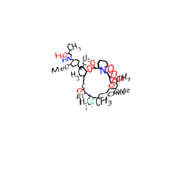 CCC1/C=C(\C)C(F)C(C)CC(OC)C2OC(O)(C(=O)C(=O)N3CCCCC3C(=O)OC(C(C)=CC3CCC(NCC(C)O)C(OC)C3)C(C)CCC1=O)C(C)CC2OC